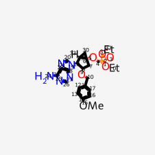 CCOP(=O)(CO[C@]12C[C@H](OCc3ccc(OC)cc3)[C@H](n3cnc4c(N)ncnc43)[C@H]1C2)OCC